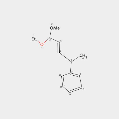 CCOC(C=CC(C)c1ccccc1)OC